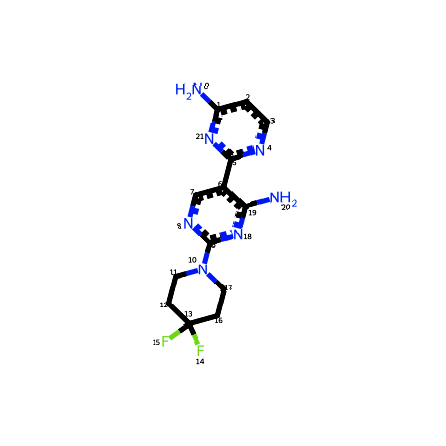 Nc1ccnc(-c2cnc(N3CCC(F)(F)CC3)nc2N)n1